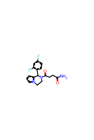 NC(=O)CCC(=O)N1CCn2cccc2C1c1ccc(F)cc1F